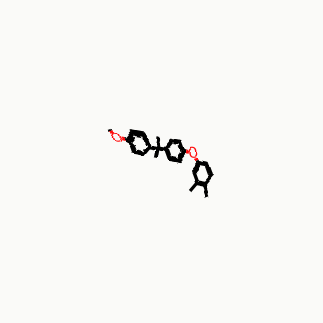 COc1ccc(C(C)(C)c2ccc(OC3=CC(C)C(C)C=C3)cc2)cc1